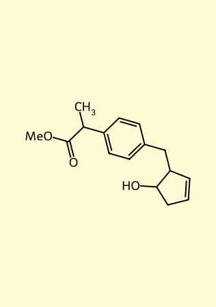 COC(=O)C(C)c1ccc(CC2C=CCC2O)cc1